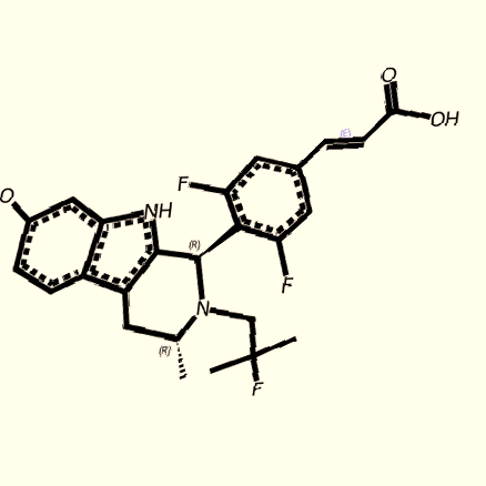 C[C@@H]1Cc2c([nH]c3cc(O)ccc23)[C@@H](c2c(F)cc(/C=C/C(=O)O)cc2F)N1CC(C)(C)F